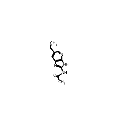 CCc1cnc2[nH]c(NC(C)=O)nc2c1